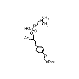 CCCCCCCCCCCOc1ccc(CCC(COP(=O)(O)OCCN(C)C)CC(C)=O)cc1